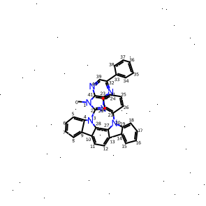 Cn1c(-n2c3ccccc3c3ccc4c5ccccc5n(-c5ccccc5)c4c32)nc2nc(-c3ccccc3)cnc21